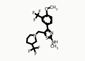 CNc1nc(-c2ccc(OC)c(C(F)(F)F)c2)c(CN2CCCC(C(F)(F)F)C2)s1